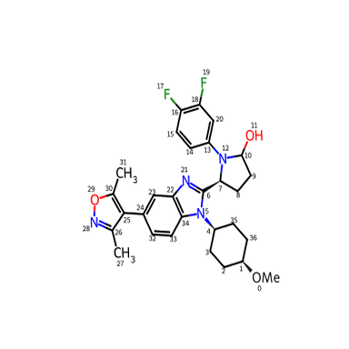 CO[C@H]1CC[C@@H](n2c([C@@H]3CCC(O)N3c3ccc(F)c(F)c3)nc3cc(-c4c(C)noc4C)ccc32)CC1